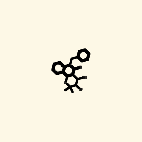 CC1(C)Oc2c(c(=O)n(Cc3ccccc3)c3ccccc23)C(O)C1Br